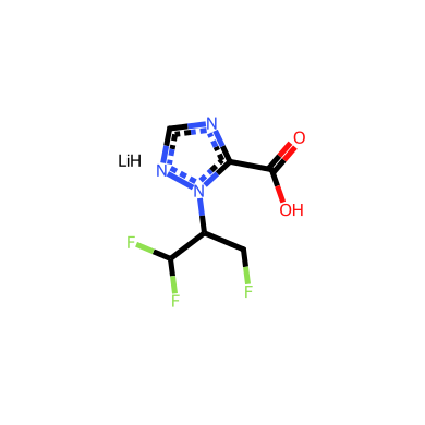 O=C(O)c1ncnn1C(CF)C(F)F.[LiH]